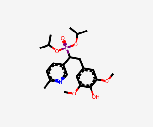 COc1cc(CC(c2ccc(C)nc2)P(=O)(OC(C)C)OC(C)C)cc(OC)c1O